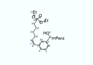 CCCCCC(O)c1cccc(/C=C\CCCCP(=O)(OCC)OCC)c1